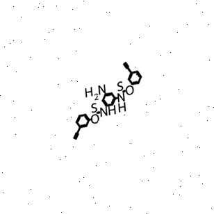 C#Cc1cccc(OC(=S)Nc2cc(N)cc(NC(=S)Oc3cccc(C#C)c3)c2)c1